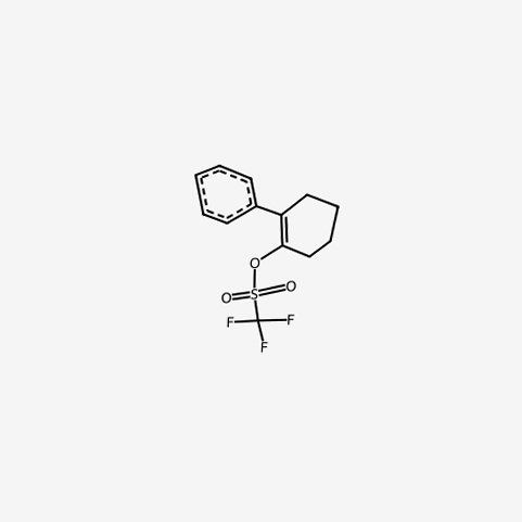 O=S(=O)(OC1=C(c2ccccc2)CCCC1)C(F)(F)F